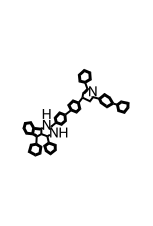 C1=C(c2ccccc2)N=C(c2ccc(-c3ccccc3)cc2)CC1c1ccc(-c2ccc(C3NC4=c5ccccc5=C(c5ccccc5)C4C(c4ccccc4)N3)cc2)cc1